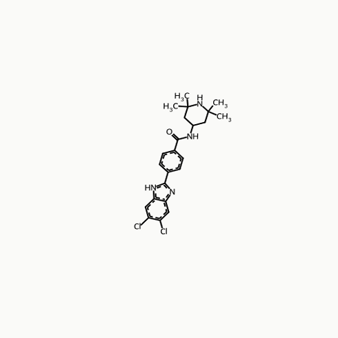 CC1(C)CC(NC(=O)c2ccc(-c3nc4cc(Cl)c(Cl)cc4[nH]3)cc2)CC(C)(C)N1